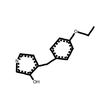 CCOc1ccc(Cc2ccncc2O)cc1